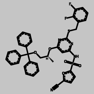 C[C@H](COC(c1ccccc1)(c1ccccc1)c1ccccc1)Oc1cc(NS(=O)(=O)c2ccc(C#N)o2)nc(SCc2cccc(F)c2F)n1